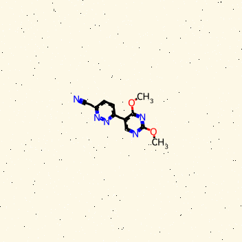 COc1ncc(-c2ccc(C#N)nn2)c(OC)n1